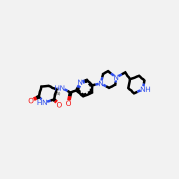 O=C1CC[C@H](NC(=O)c2ccc(N3CCN(CC4CCNCC4)CC3)cn2)C(=O)N1